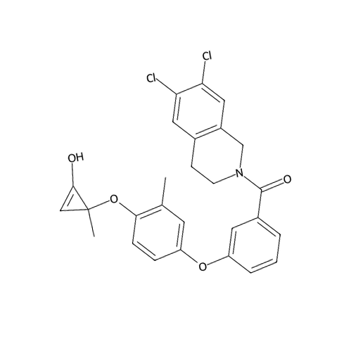 Cc1cc(Oc2cccc(C(=O)N3CCc4cc(Cl)c(Cl)cc4C3)c2)ccc1OC1(C)C=C1O